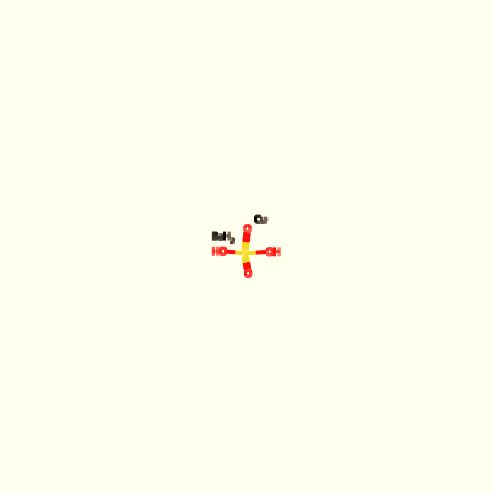 O=S(=O)(O)O.[BaH2].[Cu]